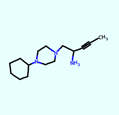 CC#CC(N)CN1CCN(C2CCCCC2)CC1